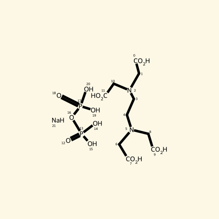 O=C(O)CN(CCN(CC(=O)O)CC(=O)O)CC(=O)O.O=P(O)(O)OP(=O)(O)O.[NaH]